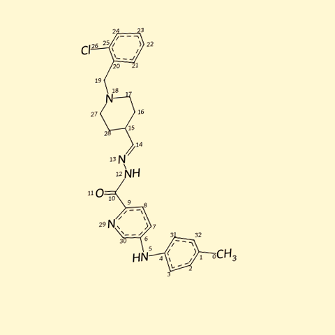 Cc1ccc(Nc2ccc(C(=O)NN=CC3CCN(Cc4ccccc4Cl)CC3)nc2)cc1